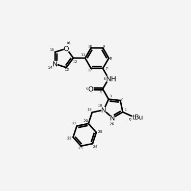 CC(C)(C)c1cc(C(=O)Nc2cccc(-c3cnco3)c2)n(Cc2ccccc2)n1